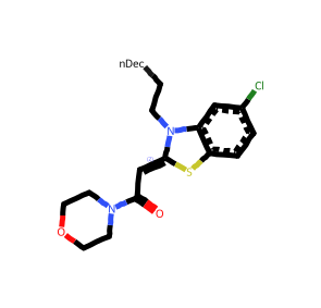 CCCCCCCCCCCCN1/C(=C/C(=O)N2CCOCC2)Sc2ccc(Cl)cc21